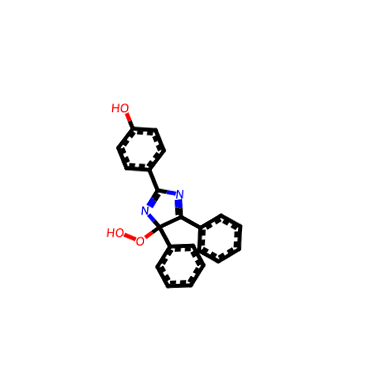 OOC1(c2ccccc2)N=C(c2ccc(O)cc2)N=C1c1ccccc1